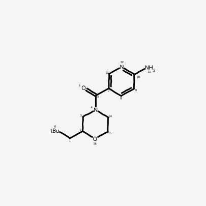 CC(C)(C)CC1CN(C(=O)c2ccc(N)nc2)CCO1